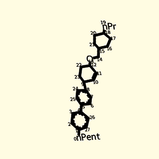 CCCCCc1ccc(-c2ccc(C3C=CC(OCC4CCC(CCC)CC4)CC3)cc2)cc1